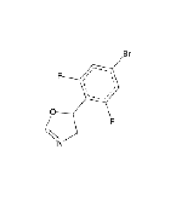 Fc1cc(Br)cc(F)c1C1CN=CO1